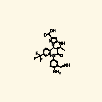 CC1=C(C(=O)Nc2ccc(N)c(C=N)c2)C(c2ccc(C(F)(F)F)cc2)n2nc(C(=O)O)cc2N1